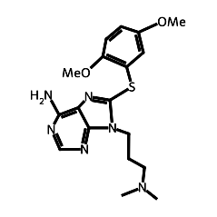 COc1ccc(OC)c(Sc2nc3c(N)ncnc3n2CCCN(C)C)c1